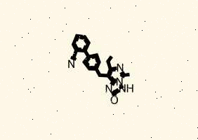 CCc1nc(C)n2[nH]c(=O)nc2c1Cc1ccc(-c2ccccc2C#N)cc1